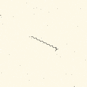 [CH2]CCCCCCCCCCCCCCC=C(C)C